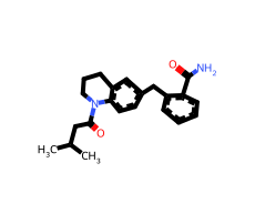 CC(C)CC(=O)N1CCCc2cc(Cc3ccccc3C(N)=O)ccc21